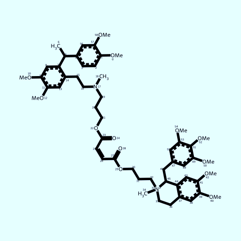 COc1ccc(C(C)c2cc(OC)c(OC)cc2CCN(C)CCCOC(=O)/C=C\C(=O)OCCC[N+]2(C)CCc3cc(OC)c(OC)cc3C2Cc2cc(OC)c(OC)c(OC)c2)cc1OC